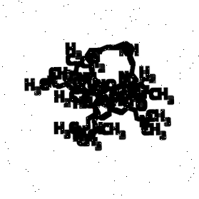 C=C(C)C(=O)Nc1c(CCN(C)C)cccc1-c1c(-c2cccc(CCN(C)C)c2NC(=O)C(=C)C)c2c(-c3cccc(CCN(C)C)c3NC(=O)C(=C)C)c3nc(cc4ccc(cc5nc(cc1n2-c1cccc(CCN(C)C)c1NC(=O)C(=C)C)C=C5)[nH]4)C=C3